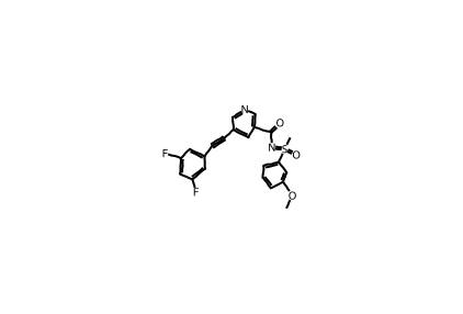 COc1cccc(S(C)(=O)=NC(=O)c2cncc(C#Cc3cc(F)cc(F)c3)c2)c1